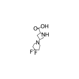 O=C(O)C1CC(N2CCC(F)(F)CC2)CN1